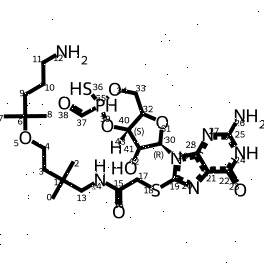 CC(C)(CCOC(C)(C)CCCN)CNC(=O)CSc1nc2c(=O)[nH]c(N)nc2n1[C@@H]1OC2CO[PH](S)(C=O)O[C@H]2C1O